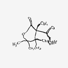 COC(=O)C1(C)C(=O)OC(C)(C)C1(C)C